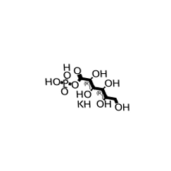 O=C(OP(=O)(O)O)[C@H](O)[C@@H](O)[C@H](O)[C@H](O)CO.[KH]